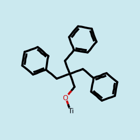 [Ti][O]CC(Cc1ccccc1)(Cc1ccccc1)Cc1ccccc1